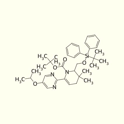 CC(C)Oc1cnc(C2=CCC(C)(C)C(CO[Si](c3ccccc3)(c3ccccc3)C(C)(C)C)N2C(=O)OC(C)(C)C)nc1